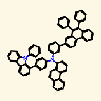 c1ccc(-c2c(-c3ccccc3)c3cc(-c4cccc(N(c5ccc(-c6cccc7c8ccccc8n(-c8ccccc8)c67)cc5)c5cccc6c5ccc5ccccc56)c4)ccc3c3ccccc23)cc1